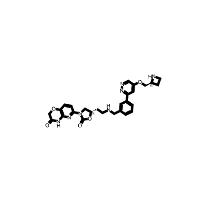 O=C1COc2ccc(N3C[C@H](CCNCc4cccc(-c5cc(OC[C@@H]6CCN6)cnn5)c4)OC3=O)nc2N1